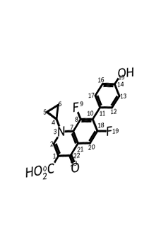 O=C(O)c1cn(C2CC2)c2c(F)c(-c3ccc(O)cc3)c(F)cc2c1=O